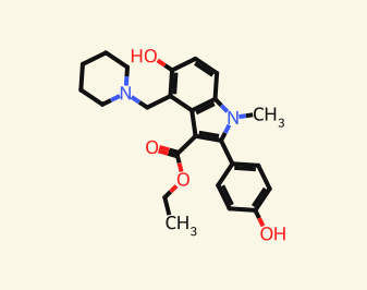 CCOC(=O)c1c(-c2ccc(O)cc2)n(C)c2ccc(O)c(CN3CCCCC3)c12